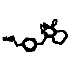 CNCc1ccc(Cc2n[nH]c(=O)c3c2CCCC3)cc1